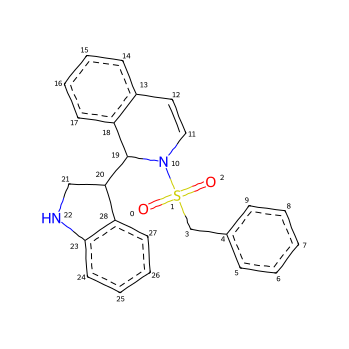 O=S(=O)(Cc1ccccc1)N1C=Cc2ccccc2C1C1CNc2ccccc21